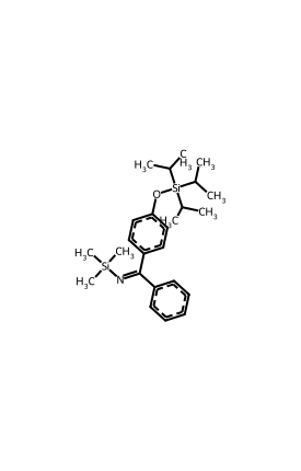 CC(C)[Si](Oc1ccc(/C(=N\[Si](C)(C)C)c2ccccc2)cc1)(C(C)C)C(C)C